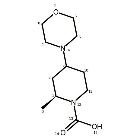 C[C@H]1CC(N2CCOCC2)CCN1C(=O)O